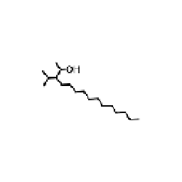 CCCCCCCCCCCCC(C(C)C)C(C)O